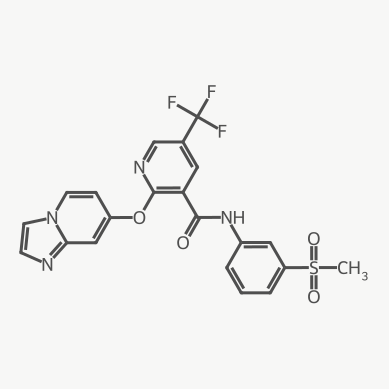 CS(=O)(=O)c1cccc(NC(=O)c2cc(C(F)(F)F)cnc2Oc2ccn3ccnc3c2)c1